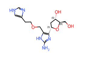 Nc1nc([C@@H]2C[C@H](O)[C@@H](CO)O2)c(COCCc2c[nH]cn2)[nH]1